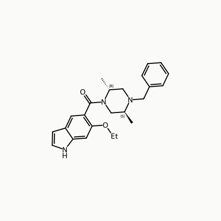 CCOc1cc2[nH]ccc2cc1C(=O)N1C[C@H](C)N(Cc2ccccc2)C[C@H]1C